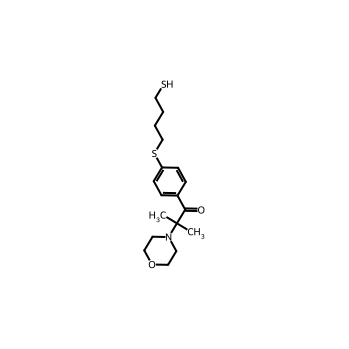 CC(C)(C(=O)c1ccc(SCCCCS)cc1)N1CCOCC1